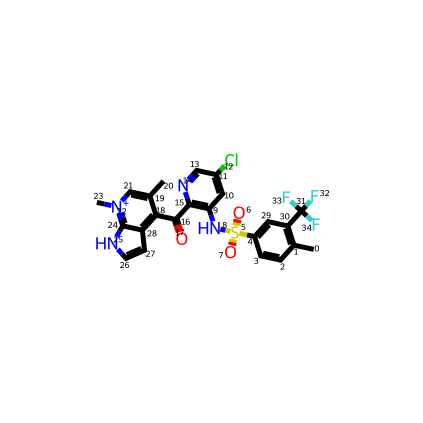 Cc1ccc(S(=O)(=O)Nc2cc(Cl)cnc2C(=O)c2c(C)c[n+](C)c3[nH]ccc23)cc1C(F)(F)F